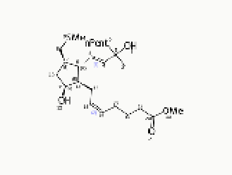 CCCCCC(C)(O)/C=C/[C@H]1[C@H](CSC)C[C@H](O)[C@@H]1C/C=C\CCCC(=O)OC